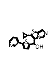 OC(c1ccc(-c2cccnc2)s1)c1c(C2CC2)sc2cncn12